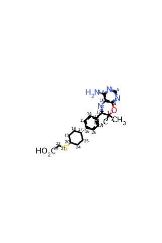 CC1(C)Oc2ncnc(N)c2N=C1c1ccc([C@H]2CC[C@H](SCC(=O)O)CC2)cc1